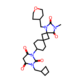 CN1C(=O)N(CC2CCOCC2)C2(CC3(CCC(N4C(=O)CC(=O)N(CC5CCC5)C4=O)CC3)C2)C1=O